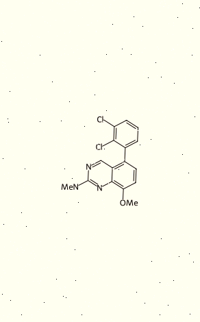 CNc1ncc2c(-c3cccc(Cl)c3Cl)ccc(OC)c2n1